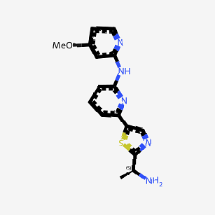 COc1ccnc(Nc2cccc(-c3cnc([C@H](C)N)s3)n2)c1